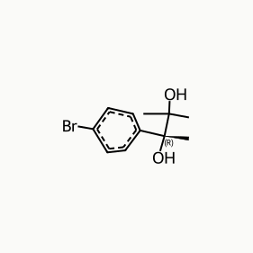 CC(C)(O)[C@](C)(O)c1ccc(Br)cc1